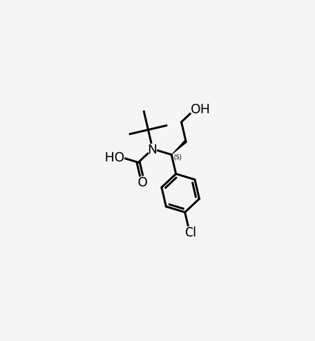 CC(C)(C)N(C(=O)O)[C@@H](CCO)c1ccc(Cl)cc1